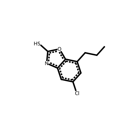 CCCc1cc(Cl)cc2nc(S)oc12